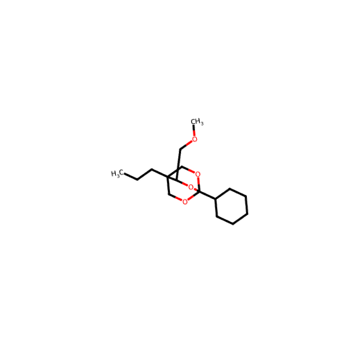 CCCC12COC(C3CCCCC3)(OC1)OC2COC